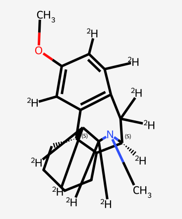 [2H]c1c([2H])c2c(c([2H])c1OC)[C@]13CCCCC1[C@@]([2H])(N(C)C([2H])([2H])C3([2H])[2H])C2([2H])[2H]